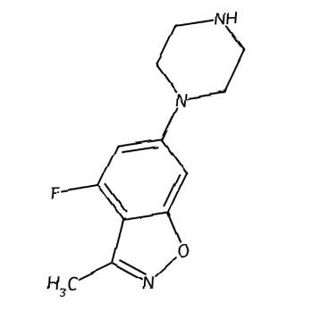 Cc1noc2cc(N3CCNCC3)cc(F)c12